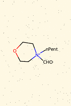 CCCCC[N+]1([C]=O)CCOCC1